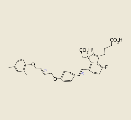 Cc1ccc(OC/C=C/COc2ccc(/C=C/c3ccc(F)c4c(CCCC(=O)O)c(C)n(CC(=O)O)c34)cc2)c(C)c1